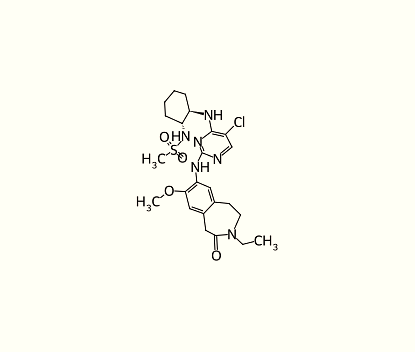 CCN1CCc2cc(Nc3ncc(Cl)c(N[C@@H]4CCCC[C@H]4NS(C)(=O)=O)n3)c(OC)cc2CC1=O